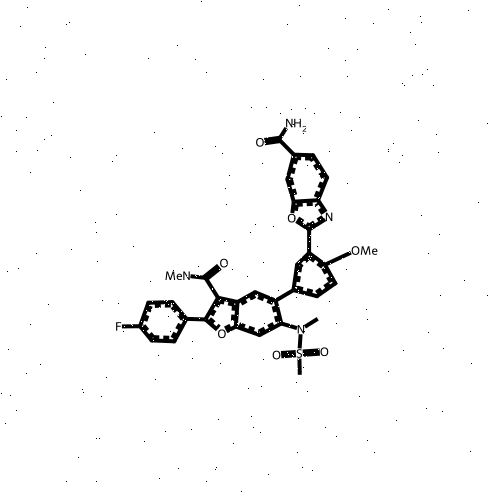 CNC(=O)c1c(-c2ccc(F)cc2)oc2cc(N(C)S(C)(=O)=O)c(-c3ccc(OC)c(-c4nc5ccc(C(N)=O)cc5o4)c3)cc12